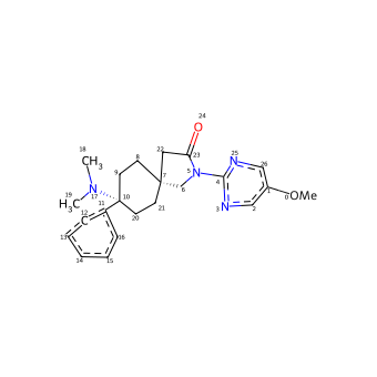 COc1cnc(N2C[C@]3(CC[C@@](c4ccccc4)(N(C)C)CC3)CC2=O)nc1